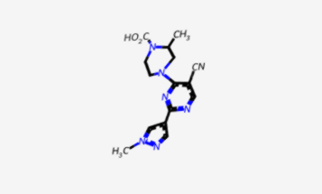 CC1CN(c2nc(-c3cnn(C)c3)ncc2C#N)CCN1C(=O)O